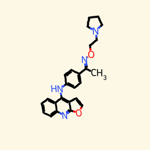 CC(=NOCCN1CCCC1)c1ccc(Nc2c3ccccc3nc3occc23)cc1